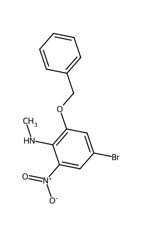 CNc1c(OCc2ccccc2)cc(Br)cc1[N+](=O)[O-]